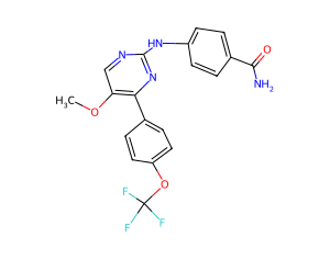 COc1cnc(Nc2ccc(C(N)=O)cc2)nc1-c1ccc(OC(F)(F)F)cc1